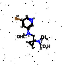 CN(C(=O)O)C1(CN(C=O)c2cncc(Br)c2)CC1